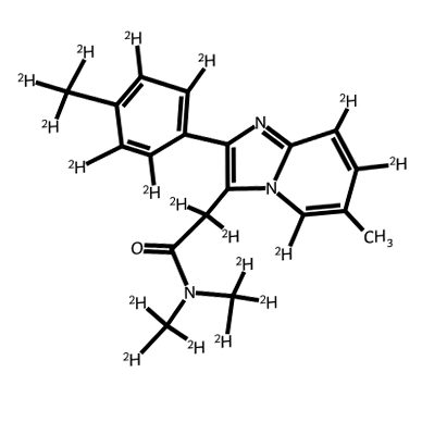 [2H]c1c([2H])c(C([2H])([2H])[2H])c([2H])c([2H])c1-c1nc2c([2H])c([2H])c(C)c([2H])n2c1C([2H])([2H])C(=O)N(C([2H])([2H])[2H])C([2H])([2H])[2H]